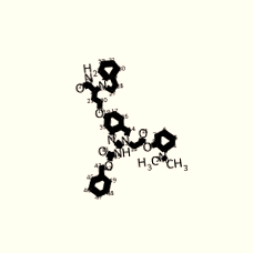 CN(C)c1ccccc1OC(=O)CN1Cc2ccc(OCCC(C(N)=O)N3CCc4ccccc43)cc2N=C1NC(=O)OCc1ccccc1